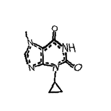 Cn1cnc2c1c(=O)[nH]c(=O)n2C1CC1